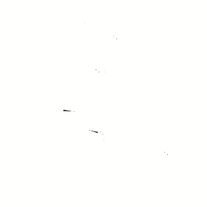 CC(C)(C)[C@H](O)C(=O)N[C@@H](C(Cc1ccc(-c2ccccn2)cc1)c1ccccc1)[C@@H](O)CCNC(=O)[C@@H](NC(=O)O)C(C)(C)C